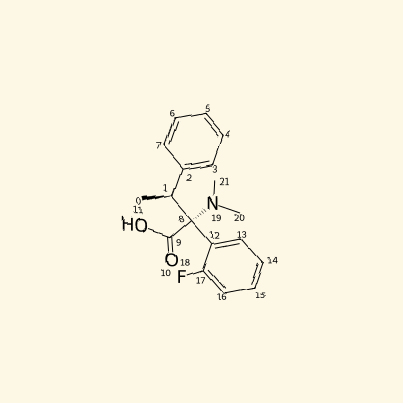 C[C@@H](c1ccccc1)[C@](C(=O)O)(c1ccccc1F)N(C)C